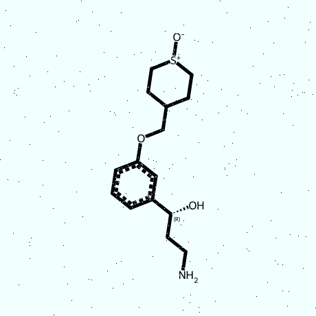 NCC[C@@H](O)c1cccc(OCC2CC[S+]([O-])CC2)c1